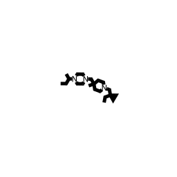 CCC(C)N1CCN(CC2(C)CCN(CC3(CC)CC3)CC2)CC1